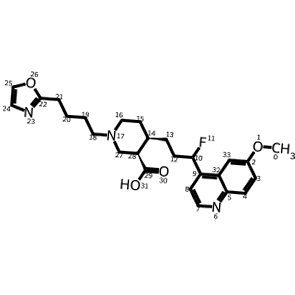 COc1ccc2nccc(C(F)CC[C@@H]3CCN(CCCCc4ncco4)C[C@@H]3C(=O)O)c2c1